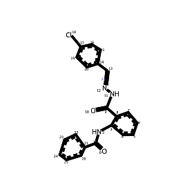 O=C(Nc1ccccc1C(=O)N/N=C/c1ccc(Cl)cc1)c1ccccc1